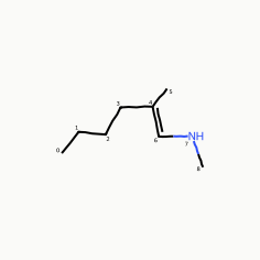 CCCCC(C)=CNC